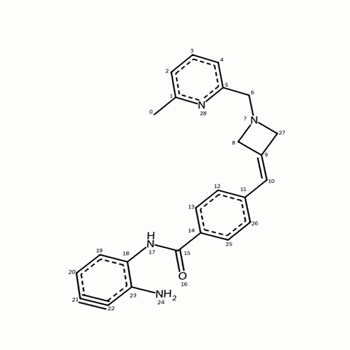 Cc1cccc(CN2CC(=Cc3ccc(C(=O)Nc4ccc#cc4N)cc3)C2)n1